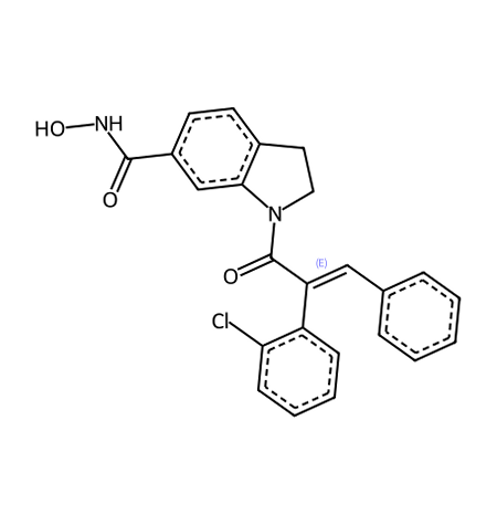 O=C(NO)c1ccc2c(c1)N(C(=O)/C(=C/c1ccccc1)c1ccccc1Cl)CC2